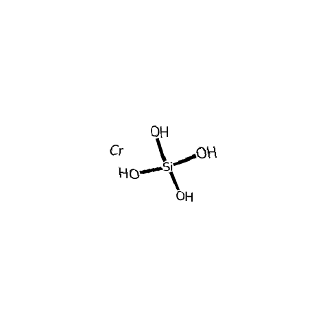 O[Si](O)(O)O.[Cr]